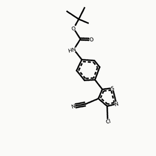 CC(C)(C)OC(=O)Nc1ccc(-c2snc(Cl)c2C#N)cc1